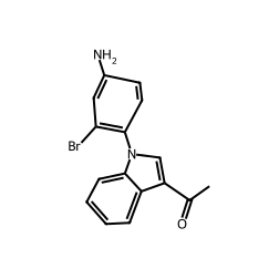 CC(=O)c1cn(-c2ccc(N)cc2Br)c2ccccc12